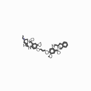 C/C=C1/C[C@H]2C=Nc3cc(OCCCOc4cc5c(cc4OC)C(=O)N4Cc6ccccc6CC4C=N5)c(OC)cc3C(=O)N2C1